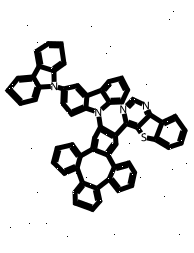 c1ccc2c(c1)-c1ccccc1-c1cc(-c3ncnc4c3sc3ccccc34)c(-n3c4ccccc4c4cc(-n5c6ccccc6c6ccccc65)ccc43)cc1-c1ccccc1-2